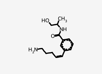 CC(CO)NC(=O)c1cccc(/C=C\CCCN)c1